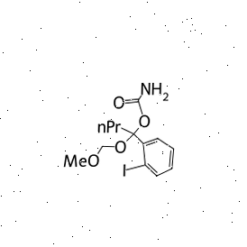 CCCC(OCOC)(OC(N)=O)c1ccccc1I